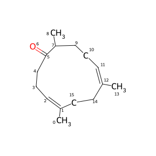 CC1=CCCC(=O)C(C)CCC=C(C)CC1